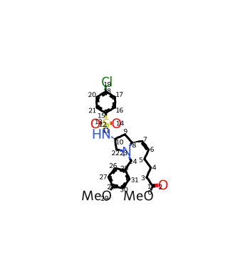 COC(=O)CCC/C=C\[C@@H]1C[C@@H](NS(=O)(=O)c2ccc(Cl)cc2)CN1Cc1ccc(OC)cc1